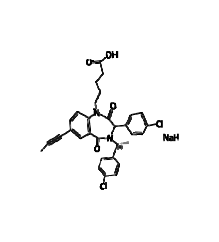 CC#Cc1ccc2c(c1)C(=O)N([C@H](C)c1ccc(Cl)cc1)C(c1ccc(Cl)cc1)C(=O)N2CCCCC(=O)O.[NaH]